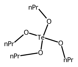 CCCO[Te](OCCC)(OCCC)OCCC